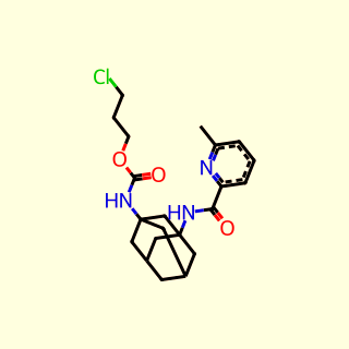 Cc1cccc(C(=O)NC23CC4CC(CC(NC(=O)OCCCCl)(C4)C2)C3)n1